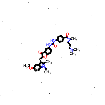 CCn1c(C)c(/C=C2\Oc3ccc(NC(=O)Nc4ccc(C(=O)N(C)CCCN(C)C)cc4)cc3C2=O)c2cc(OC)ccc21